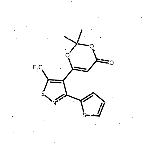 CC1(C)OC(=O)C=C(c2c(-c3cccs3)nsc2C(F)(F)F)O1